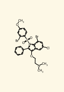 COc1ccc(S(=O)(=O)n2c(-c3ccccc3)c(OCCN(C)C)c3cc(Cl)cc(Br)c32)c(Br)c1